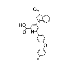 O=Cc1cn(-c2cc(C(=O)O)nc(-c3ccc(Oc4ccc(F)cc4)cc3)c2)c2ccccc12